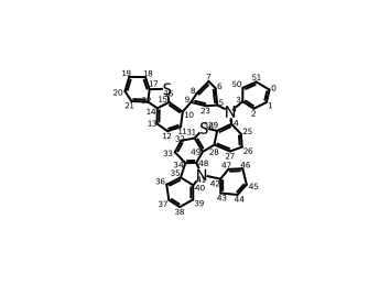 c1ccc(N(c2cccc(-c3cccc4c3sc3ccccc34)c2)c2cccc3c2sc2ccc4c5ccccc5n(-c5ccccc5)c4c23)cc1